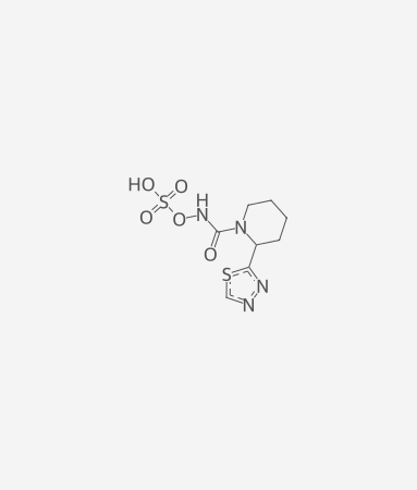 O=C(NOS(=O)(=O)O)N1CCCCC1c1nncs1